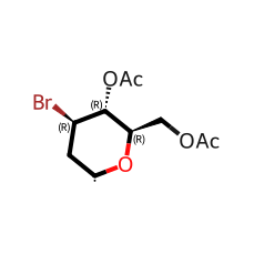 CC(=O)OC[C@H]1O[CH]C[C@@H](Br)[C@@H]1OC(C)=O